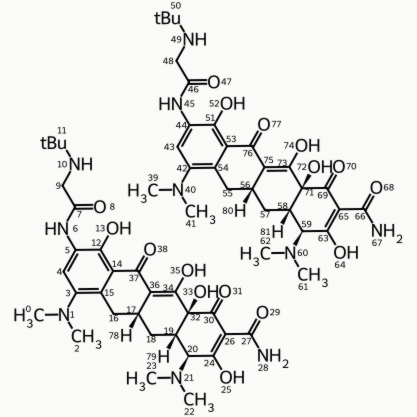 CN(C)c1cc(NC(=O)CNC(C)(C)C)c(O)c2c1C[C@H]1C[C@H]3[C@H](N(C)C)C(O)=C(C(N)=O)C(=O)[C@@]3(O)C(O)=C1C2=O.CN(C)c1cc(NC(=O)CNC(C)(C)C)c(O)c2c1C[C@H]1C[C@H]3[C@H](N(C)C)C(O)=C(C(N)=O)C(=O)[C@@]3(O)C(O)=C1C2=O